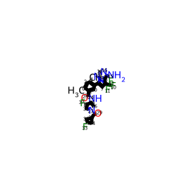 Cc1cc(C)c(-c2cc(C(F)(F)F)c3c(N)ncnn23)cc1C(=O)N[C@@H]1CN(C(=O)C2CC(F)C2)C[C@@H]1F